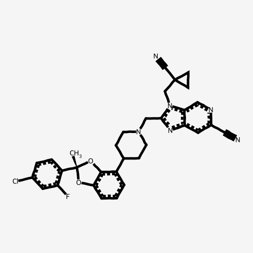 C[C@]1(c2ccc(Cl)cc2F)Oc2cccc(C3CCN(Cc4nc5cc(C#N)ncc5n4CC4(C#N)CC4)CC3)c2O1